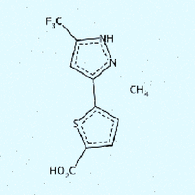 C.O=C(O)c1ccc(-c2cc(C(F)(F)F)[nH]n2)s1